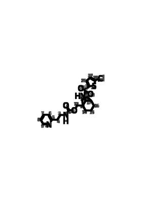 O=C(NCCc1ccccn1)OCC12CCCC(CC1)C2NS(=O)(=O)c1ccc(Cl)s1